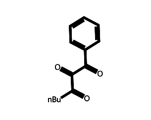 CCCCC(=O)C(=O)C(=O)c1ccccc1